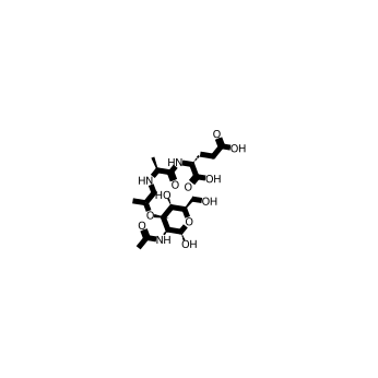 CC(=O)N[C@@H]1[C@@H](OC(C)CN[C@@H](C)C(=O)N[C@H](CCC(=O)O)C(=O)O)[C@H](O)[C@@H](CO)O[C@@H]1O